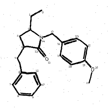 CCC1CC(Cc2ccccc2)C(=O)N1Cc1ccc(OC)cc1